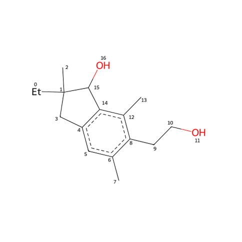 CCC1(C)Cc2cc(C)c(CCO)c(C)c2C1O